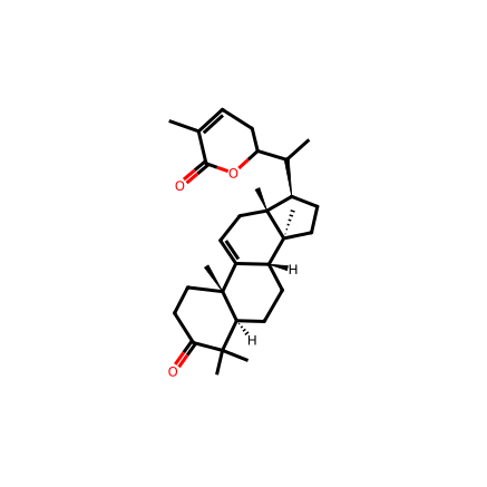 CC1=CCC(C(C)[C@H]2CC[C@@]3(C)[C@@H]4CC[C@H]5C(C)(C)C(=O)CC[C@]5(C)C4=CC[C@]23C)OC1=O